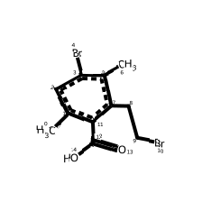 Cc1cc(Br)c(C)c(CCBr)c1C(=O)O